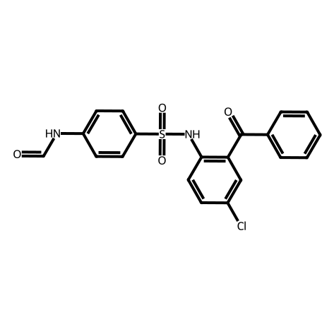 O=CNc1ccc(S(=O)(=O)Nc2ccc(Cl)cc2C(=O)c2ccccc2)cc1